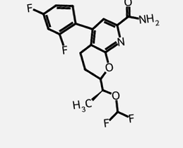 C[C@H](OC(F)F)C1CCc2c(-c3ccc(F)cc3F)cc(C(N)=O)nc2O1